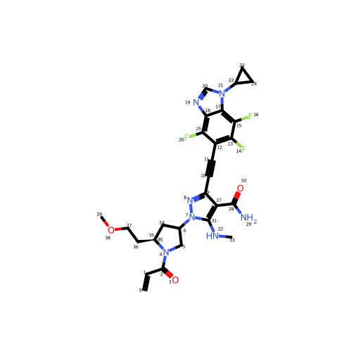 C=CC(=O)N1CC(n2nc(C#Cc3c(F)c(F)c4c(ncn4C4CC4)c3F)c(C(N)=O)c2NC)C[C@@H]1CCOC